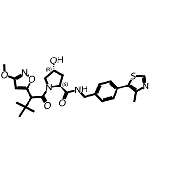 COc1cc(C(C(=O)N2C[C@H](O)C[C@H]2C(=O)NCc2ccc(-c3scnc3C)cc2)C(C)(C)C)on1